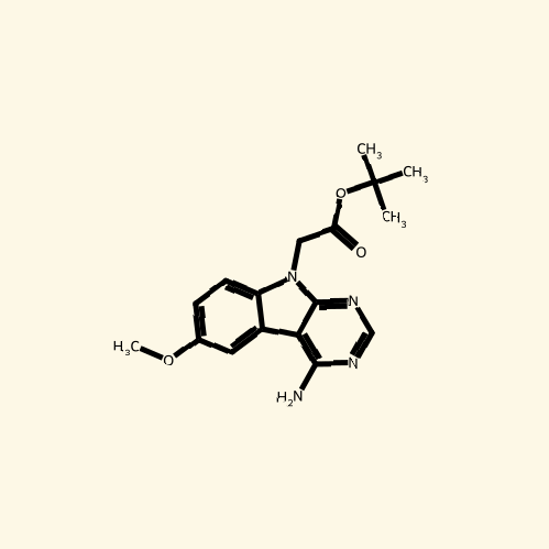 COc1ccc2c(c1)c1c(N)ncnc1n2CC(=O)OC(C)(C)C